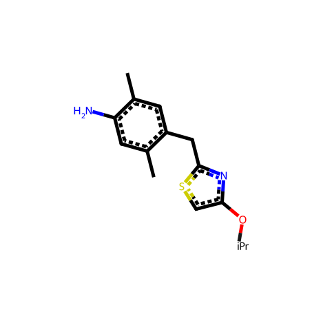 Cc1cc(Cc2nc(OC(C)C)cs2)c(C)cc1N